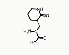 NN(C[C@@H]1CCCNC1=O)C(=O)O